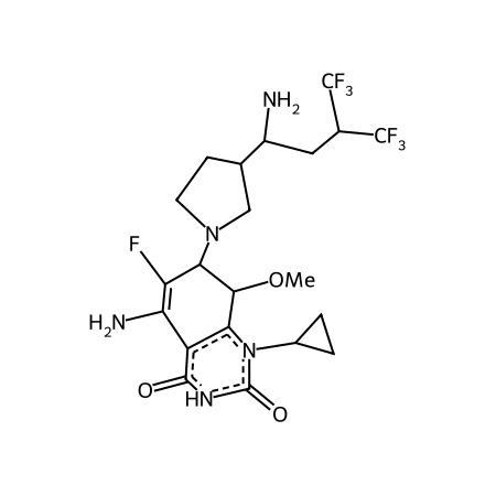 COC1c2c(c(=O)[nH]c(=O)n2C2CC2)C(N)=C(F)C1N1CCC(C(N)CC(C(F)(F)F)C(F)(F)F)C1